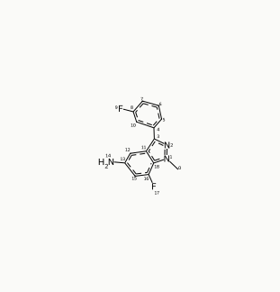 Cn1nc(-c2cccc(F)c2)c2cc(N)cc(F)c21